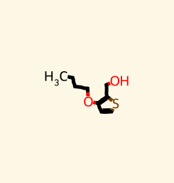 CCCCOc1ccsc1CO